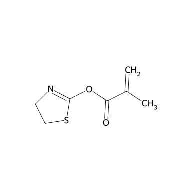 C=C(C)C(=O)OC1=NCCS1